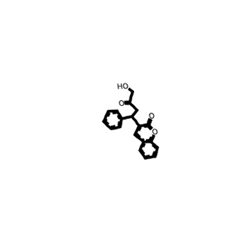 O=C(CO)CC(c1ccccc1)c1cc2ccccc2oc1=O